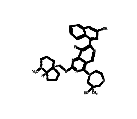 CN1CCC[C@@]2(COc3nc(N4CCOC[C@@](C)(O)C4)c4cnc(-c5cc(O)cc6ccccc56)c(F)c4n3)CCC[C@@H]12